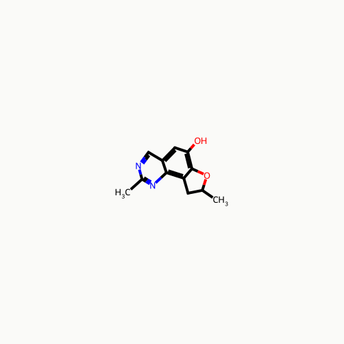 Cc1ncc2cc(O)c3c(c2n1)CC(C)O3